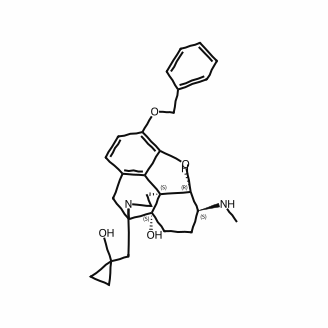 CN[C@H]1CC[C@@]2(O)C3Cc4ccc(OCc5ccccc5)c5c4[C@@]2(CCN3CC2(O)CC2)[C@H]1O5